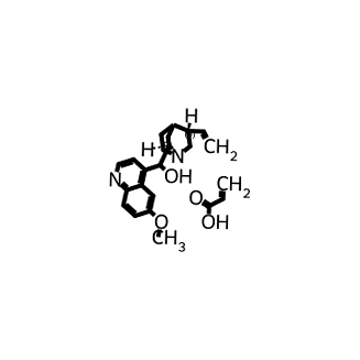 C=CC(=O)O.C=C[C@@H]1CN2CCC1C[C@@H]2C(O)c1ccnc2ccc(OC)cc12